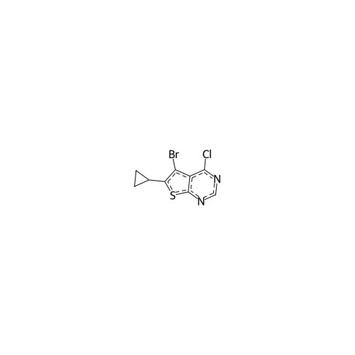 Clc1ncnc2sc(C3CC3)c(Br)c12